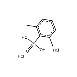 Cc1cccc(C)c1P(=O)(O)O.Cl.Cl